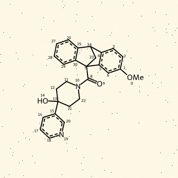 COc1ccc2c(c1)C1(C(=O)N3CCC(O)(c4cccnc4)CC3)CC2c2ccccc21